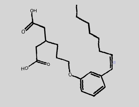 CCCCCC/C=C\c1cccc(OCCCC(CC(=O)O)CC(=O)O)c1